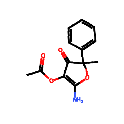 CC(=O)OC1=C(N)OC(C)(c2ccccc2)C1=O